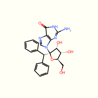 Nc1nc2c(ncn2[C@]2(C(c3ccccc3)c3ccccc3)O[C@H](CO)[C@@H](O)[C@H]2O)c(=O)[nH]1